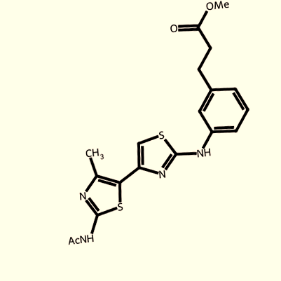 COC(=O)CCc1cccc(Nc2nc(-c3sc(NC(C)=O)nc3C)cs2)c1